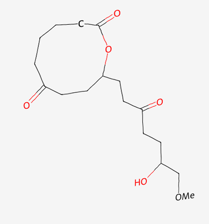 COCC(O)CCC(=O)CCC1CCC(=O)CCCCC(=O)O1